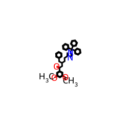 COc1cc(OC)cc(C(=O)CC(CCc2cn(C(c3ccccc3)(c3ccccc3)c3ccccc3)cn2)Cc2ccccc2)c1